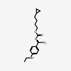 CCNc1ccc(/C(N)=N/C(=O)OCCCCC2CC2)cc1